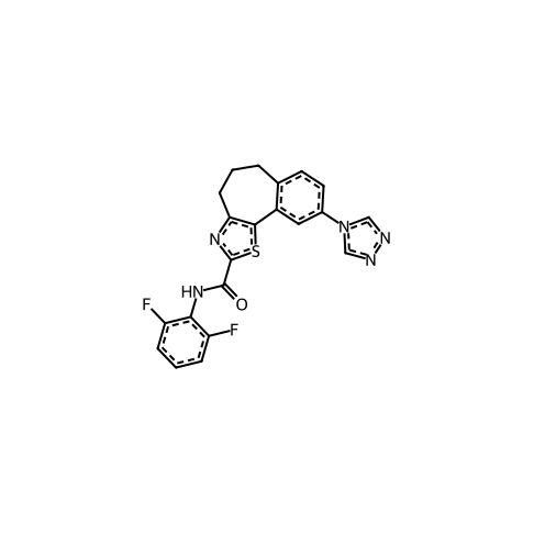 O=C(Nc1c(F)cccc1F)c1nc2c(s1)-c1cc(-n3cnnc3)ccc1CCC2